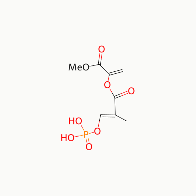 C=C(OC(=O)C(C)=COP(=O)(O)O)C(=O)OC